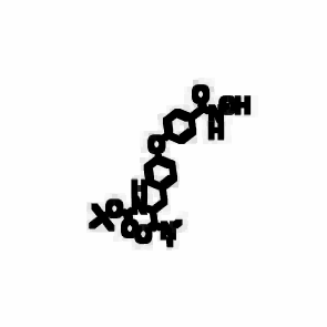 CN(C)C(=O)C(Cc1ccc(Oc2ccc(C(=O)NO)cc2)cc1)NC(=O)OC(C)(C)C